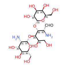 N[C@@H]1[C@H](O[C@@H]([C@H](O[C@H]2O[C@H](CO)[C@H](O)[C@H](O)[C@H]2O)[C@@H](N)C=O)[C@H](O)CO)O[C@H](CO)[C@@H](O)[C@@H]1O